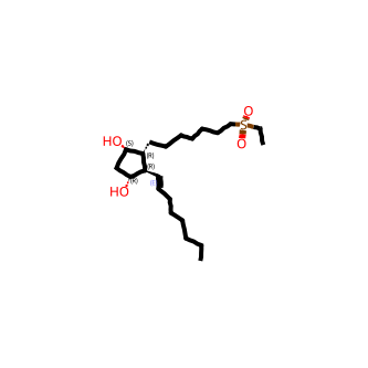 CCCCCC/C=C/[C@@H]1[C@@H](CCCCCCCS(=O)(=O)CC)[C@@H](O)C[C@H]1O